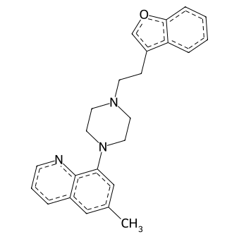 Cc1cc(N2CCN(CCc3coc4ccccc34)CC2)c2ncccc2c1